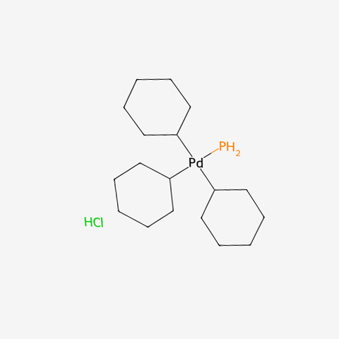 Cl.[PH2][Pd]([CH]1CCCCC1)([CH]1CCCCC1)[CH]1CCCCC1